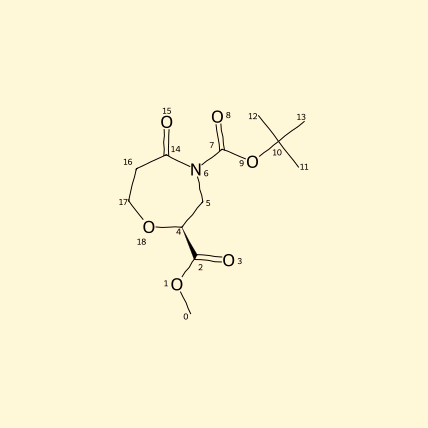 COC(=O)[C@@H]1CN(C(=O)OC(C)(C)C)C(=O)CCO1